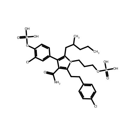 CCCC(C)Cc1c(-c2ccc(OP(=O)(O)O)c(Cl)c2)c(C(N)=O)c(CCc2ccc(Cl)cc2)n1CCCOP(=O)(O)O